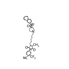 CC1=C(CCCCCCN2CCN(S(=O)(=O)c3ccc4ccccc4c3)CC2)C(=O)N(c2ccc(C#N)c(C(F)(F)F)c2)C1=O